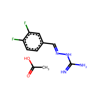 CC(=O)O.N=C(N)NN=Cc1ccc(F)c(F)c1